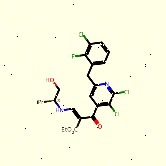 CCOC(=O)C(=CN[C@H](CO)C(C)C)C(=O)c1cc(Cc2cccc(Cl)c2F)nc(Cl)c1Cl